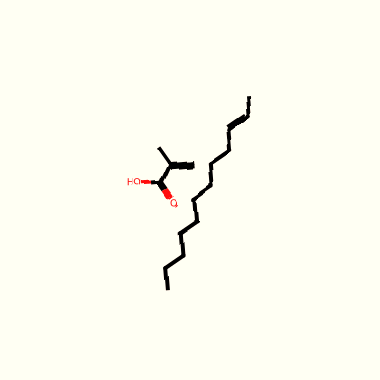 C=C(C)C(=O)O.CC=CCCCCCCCCC